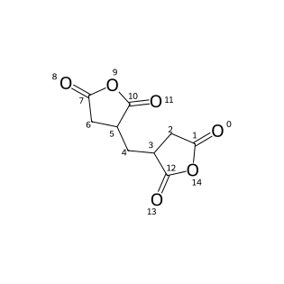 O=C1CC(CC2CC(=O)OC2=O)C(=O)O1